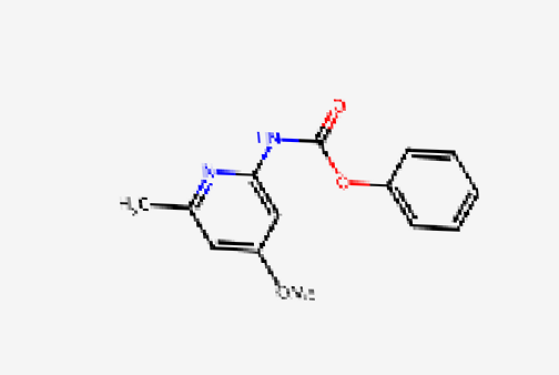 COc1cc(C)nc(NC(=O)Oc2ccccc2)c1